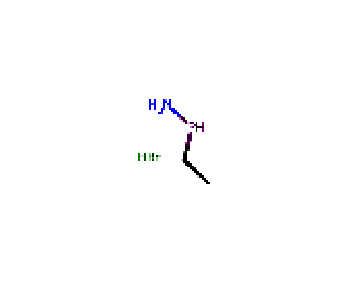 Br.CCPN